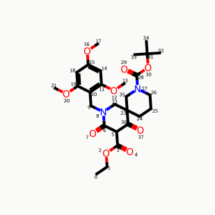 CCOC(=O)C1C(=O)N(Cc2c(OC)cc(OC)cc2OC)CC2(CCCN(C(=O)OC(C)(C)C)C2)C1=O